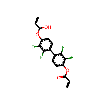 C=CC(=O)Oc1ccc(-c2ccc(OC(O)C=C)c(F)c2F)c(F)c1F